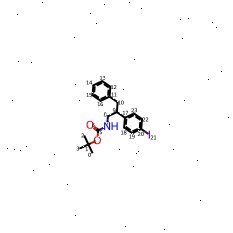 CC(C)(C)OC(=O)NCC(Cc1ccccc1)c1ccc(I)cc1